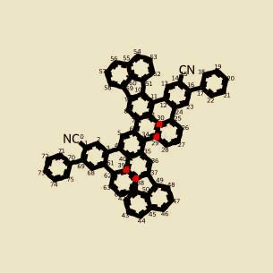 N#Cc1cc(-c2cc3c4cc5c(c(-c6cc(C#N)c(-c7ccccc7)cc6-c6ccccc6)c4ccc3c3cc4c(cc23)-c2cccc3cccc-4c23)-c2cccc3cccc-5c23)c(-c2ccccc2)cc1-c1ccccc1